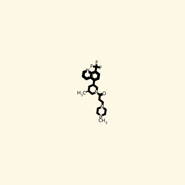 C[C@H]1CC(c2ccc(C(F)(F)F)c3ncccc23)CN(C(=O)CCN2CCN(C)CC2)C1